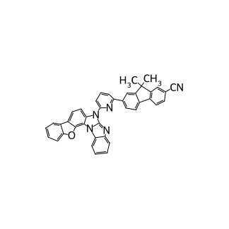 CC1(C)c2cc(C#N)ccc2-c2ccc(-c3cccc(-n4c5ccc6c7ccccc7oc6c5n5c6ccccc6nc45)n3)cc21